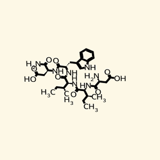 CC[C@H](C)[C@H](NC(=O)[C@@H](NC(=O)[C@@H](N)CC(=O)O)[C@@H](C)CC)C(=O)N[C@@H](Cc1c[nH]c2ccccc12)C(=O)N[C@@H](CC(=O)O)C(N)=O